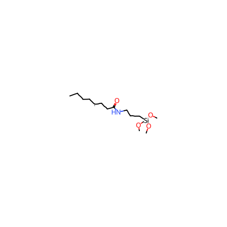 CCCC[CH]CCC(=O)NCCC[Si](OC)(OC)OC